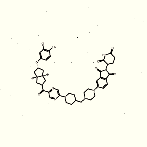 N#Cc1ccc(O[C@@H]2C[C@@H]3CN(C(=O)c4cnc(N5CCC(CN6CCN(c7ccc8c(c7)C(=O)N(C7CCC(=O)NC7=O)C8=O)CC6)CC5)cn4)C[C@@H]3C2)cc1Cl